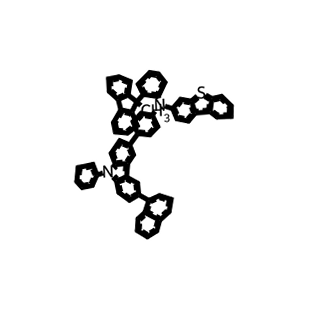 CC1(c2ccccc2N(c2ccc(-c3ccc4c(c3)c3cc(-c5cccc6ccccc56)ccc3n4-c3ccccc3)cc2)c2ccc3c(c2)sc2ccccc23)c2ccccc2-c2ccccc21